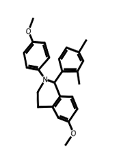 COc1ccc(N2CCc3cc(OC)ccc3C2c2ccc(C)cc2C)cc1